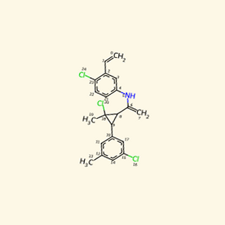 C=Cc1cc(NC(=C)C2C(c3cc(C)cc(Cl)c3)C2(C)Cl)ccc1Cl